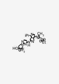 CCS(=O)(=O)C[C@H]1CN(c2cnc(C(C)C)c3cc(Nc4ccnc(N5CC[C@](C)(O)C(F)(F)C5)n4)ncc23)[C@@H]1C